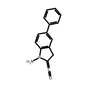 NN1C(=C=O)Cc2cc(-c3ccccc3)ccc21